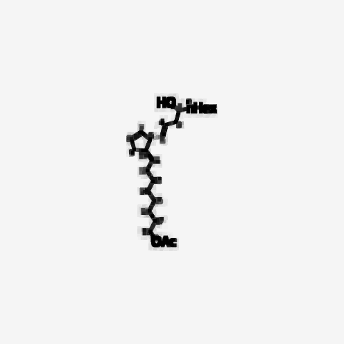 CCCCCCC(O)C/C=C/[C@H]1C=CC[C@@H]1CCCCCCCCOC(C)=O